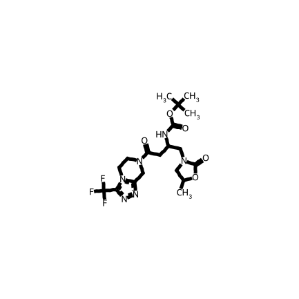 CC1CN(CC(CC(=O)N2CCn3c(nnc3C(F)(F)F)C2)NC(=O)OC(C)(C)C)C(=O)O1